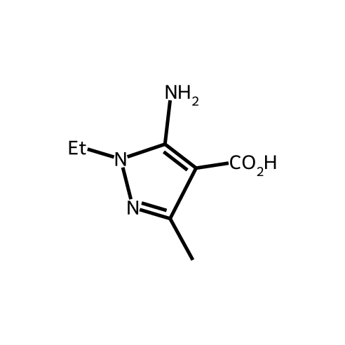 CCn1nc(C)c(C(=O)O)c1N